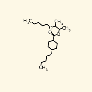 CCCCCOC(C)C(C)OC(=O)[C@H]1CC[C@H](CCCCC)CC1